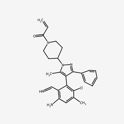 C=CC(=O)N1CCC(n2nc(-c3ccccc3)c(-c3c(Cl)c(C)cc(N)c3C=N)c2C)CC1